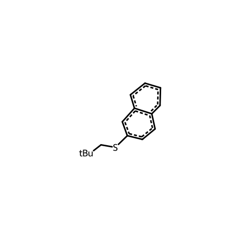 CC(C)(C)CSc1ccc2ccccc2c1